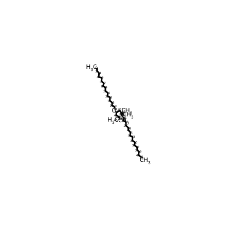 CCCCCCCCCCCCCCCCCCOC1CC(C)(C)N(CCCCCCCCCCCCCCCCCC)C(C)(C)C1